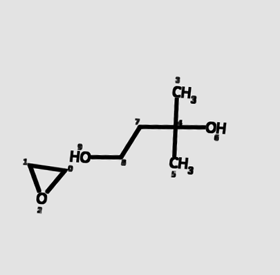 C1CO1.CC(C)(O)CCO